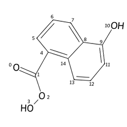 O=C(OO)c1cccc2c(O)cccc12